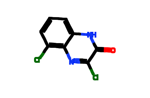 O=c1[nH]c2cccc(Cl)c2nc1Cl